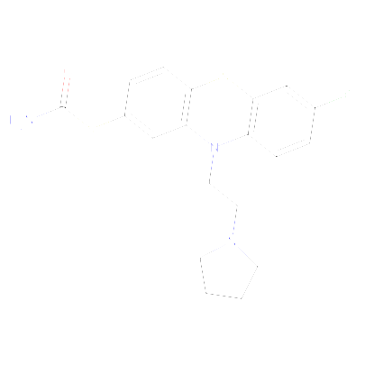 C[C@@H](CN1CCCC1)N1c2ccc(Cl)cc2Sc2ccc(SC(N)=O)cc21